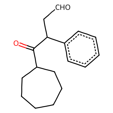 O=CCC(C(=O)C1CCCCCC1)c1ccccc1